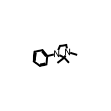 CN1CCN(c2ccccc2)C1(C)C